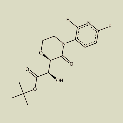 CC(C)(C)OC(=O)[C@H](O)[C@H]1OCCN(c2ccc(F)nc2F)C1=O